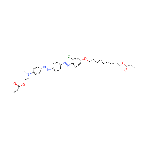 C=CC(=O)OCCN(C)c1ccc(N=Nc2ccc(N=Nc3ccc(OCCCCCCCCCOC(=O)CC)cc3Cl)cc2)cc1